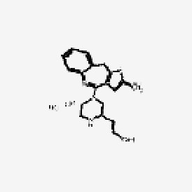 Cc1cc2c(s1)Cc1ccccc1N=C2N1CCNC(CCO)C1.Cl.Cl